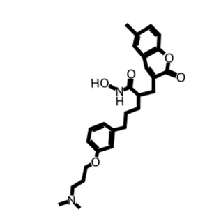 Cc1ccc2oc(=O)c(CC(CCCc3cccc(OCCCN(C)C)c3)C(=O)NO)cc2c1